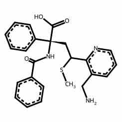 CSC(C[C@](NC(=O)c1ccccc1)(C(=O)O)c1ccccc1)c1ncccc1CN